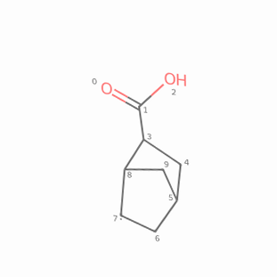 O=C(O)C1CC2C[CH]C1C2